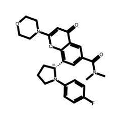 CN(C)C(=O)c1cc([C@H]2CCCN2c2ccc(F)cc2)c2oc(N3CCOCC3)cc(=O)c2c1